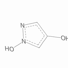 Oc1cnn(O)c1